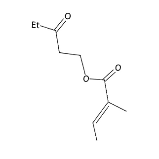 CC=C(C)C(=O)OCCC(=O)CC